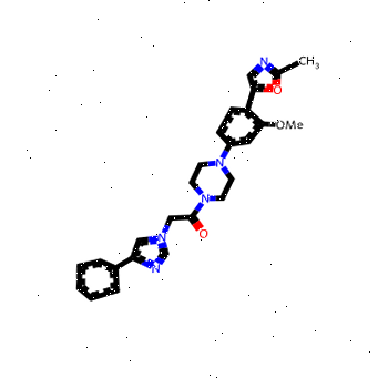 COc1cc(N2CCN(C(=O)Cn3cnc(-c4ccccc4)c3)CC2)ccc1-c1cnc(C)o1